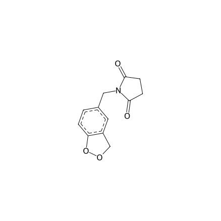 O=C1CCC(=O)N1Cc1ccc2c(c1)COO2